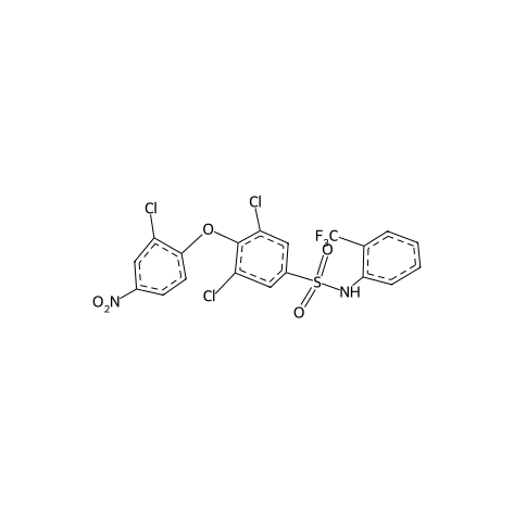 O=[N+]([O-])c1ccc(Oc2c(Cl)cc(S(=O)(=O)Nc3ccccc3C(F)(F)F)cc2Cl)c(Cl)c1